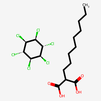 CCCCCCCCCC(C(=O)O)C(=O)O.Cl[C@H]1[C@H](Cl)[C@@H](Cl)[C@@H](Cl)[C@H](Cl)[C@H]1Cl